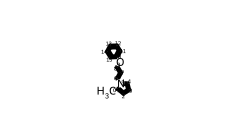 C[C@@H]1CCCN1CCCOc1ccccc1